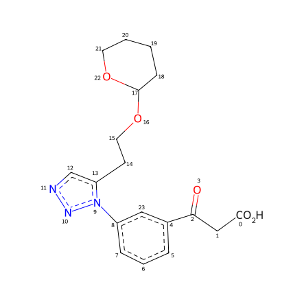 O=C(O)CC(=O)c1cccc(-n2nncc2CCOC2CCCCO2)c1